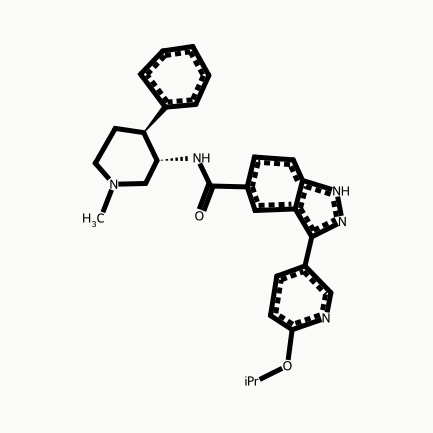 CC(C)Oc1ccc(-c2n[nH]c3ccc(C(=O)N[C@@H]4CN(C)CC[C@H]4c4ccccc4)cc23)cn1